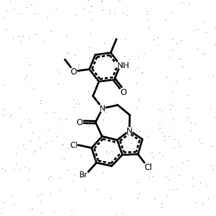 COc1cc(C)[nH]c(=O)c1CN1CCn2cc(Cl)c3cc(Br)c(Cl)c(c32)C1=O